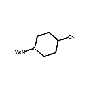 CNN1CCC(C#N)CC1